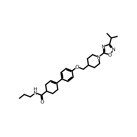 CCCNC(=O)C1CC=C(c2ccc(OCC3CCN(c4nc(C(C)C)no4)CC3)cc2)CC1